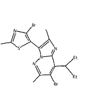 CCC(CC)c1c(Br)c(C)nn2c(-c3sc(C)nc3Br)c(C)nc12